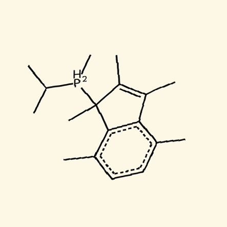 CC1=C(C)C(C)([PH2](C)C(C)C)c2c(C)ccc(C)c21